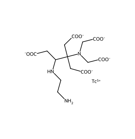 NCCNC(CC(=O)[O-])C(CC(=O)[O-])(CC(=O)[O-])N(CC(=O)[O-])CC(=O)[O-].[Tc+5]